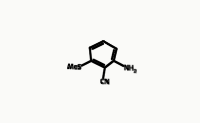 CSc1cccc(N)c1C#N